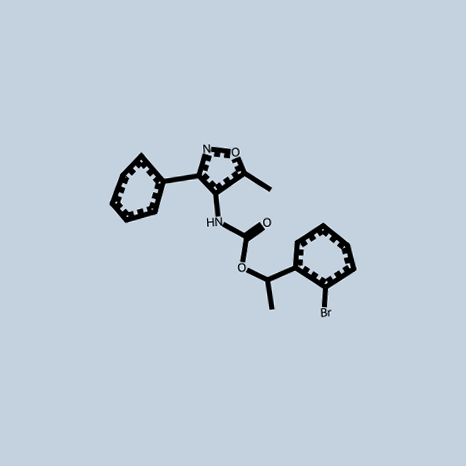 Cc1onc(-c2ccccc2)c1NC(=O)OC(C)c1ccccc1Br